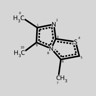 Cc1nc2scc(C)n2c1C